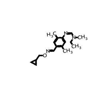 CCN(C)/C=N\c1cc(C)c(/C=N/OCC2CC2)cc1C